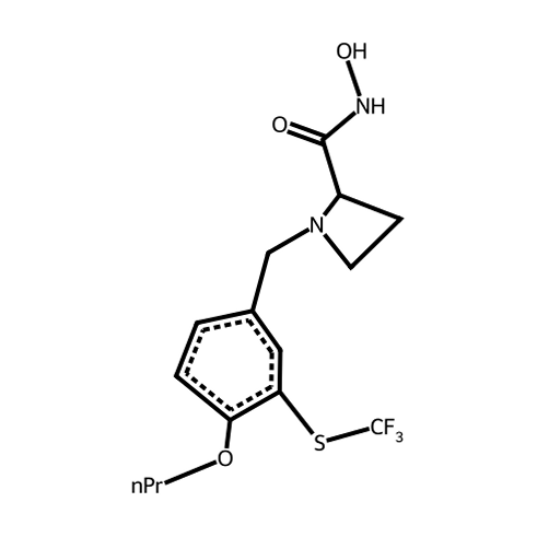 CCCOc1ccc(CN2CCC2C(=O)NO)cc1SC(F)(F)F